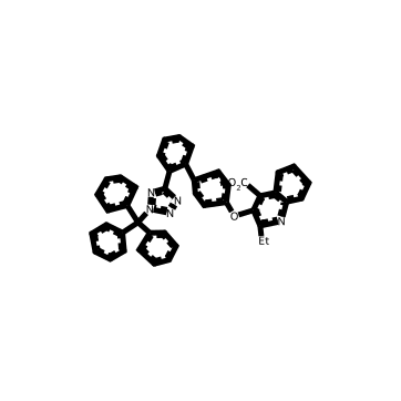 CCc1nc2ccccc2c(C(=O)O)c1Oc1ccc(-c2ccccc2-c2nnn(C(c3ccccc3)(c3ccccc3)c3ccccc3)n2)cc1